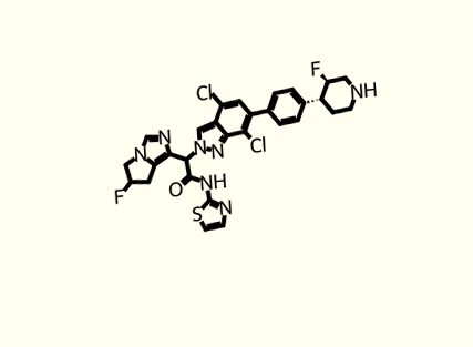 O=C(Nc1nccs1)C(c1ncn2c1CC(F)C2)n1cc2c(Cl)cc(-c3ccc([C@H]4CCNC[C@@H]4F)cc3)c(Cl)c2n1